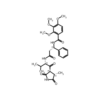 COc1ccc(C(=O)N[C@@H](CC(=O)N[C@H](C(=O)[C@@H]2C(=O)NC(=O)[C@H]2C)C(C)C)c2ccccc2)c(OC)c1OC